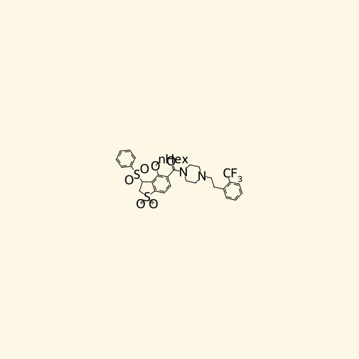 CCCCCCOc1c(C(=O)N2CCN(CCc3ccccc3C(F)(F)F)CC2)ccc2c1C(S(=O)(=O)c1ccccc1)CS2(=O)=O